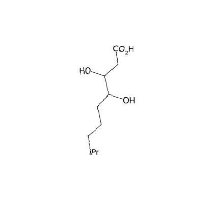 CC(C)CCCC(O)C(O)CC(=O)O